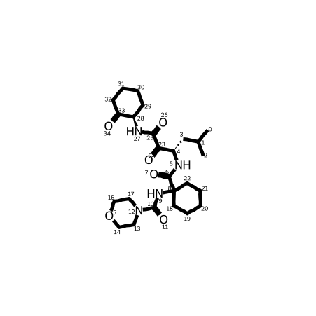 CC(C)C[C@H](NC(=O)C1(NC(=O)N2CCOCC2)CCCCC1)C(=O)C(=O)N[C@@H]1CCCCC1=O